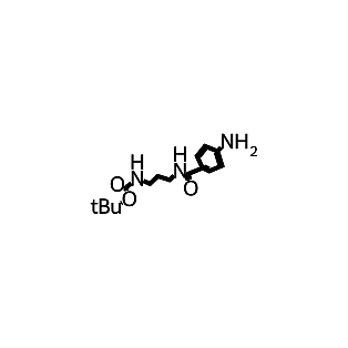 CC(C)(C)OC(=O)NCCCNC(=O)c1ccc(N)cc1